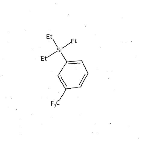 CC[Si](CC)(CC)c1cccc(C(F)(F)F)c1